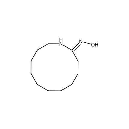 ON=C1CCCCCCCCCCN1